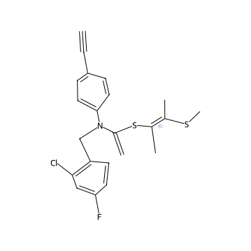 C#Cc1ccc(N(Cc2ccc(F)cc2Cl)C(=C)S/C(C)=C(\C)SC)cc1